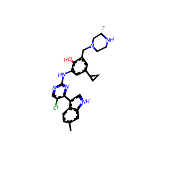 Cc1ccc2c(-c3nc(Nc4cc(C5CC5)cc(CN5CCN[C@@H](C)C5)c4O)ncc3Cl)c[nH]c2c1